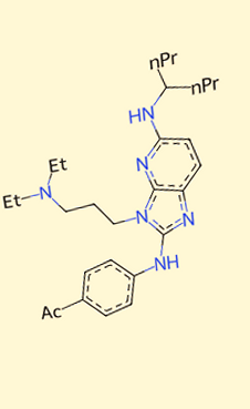 CCCC(CCC)Nc1ccc2nc(Nc3ccc(C(C)=O)cc3)n(CCCN(CC)CC)c2n1